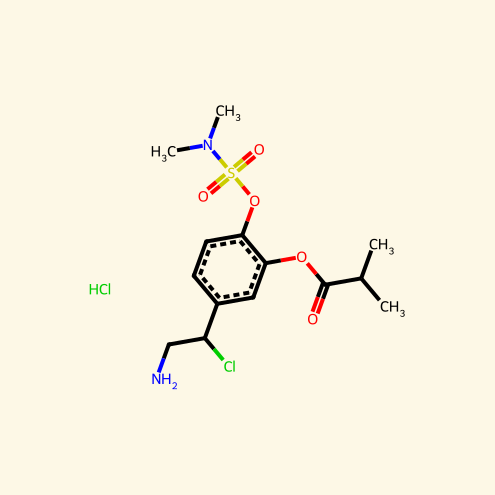 CC(C)C(=O)Oc1cc(C(Cl)CN)ccc1OS(=O)(=O)N(C)C.Cl